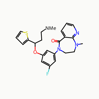 CNCCC(Oc1cc(F)cc(N2CCN(C)c3ncccc3C2=O)c1)c1cccs1